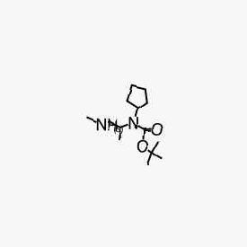 CNC[C@H](C)N(C(=O)OC(C)(C)C)C1CCCC1